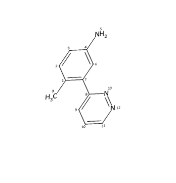 Cc1ccc(N)cc1-c1cccnn1